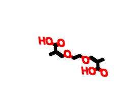 CC(=COCCOC=C(C)C(=O)O)C(=O)O